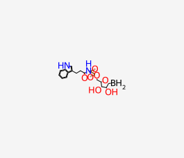 BC1OC(COS(=O)(=O)NC(=O)CCc2c[nH]c3ccccc23)C(O)C1O